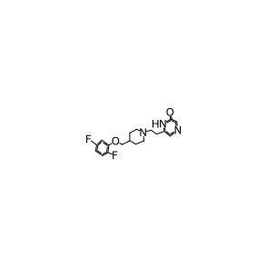 O=c1cncc(CCN2CCC(COc3cc(F)ccc3F)CC2)[nH]1